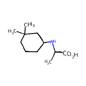 CC(NC1CCCC(C)(C)C1)C(=O)O